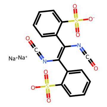 O=C=NC(=C(N=C=O)c1ccccc1S(=O)(=O)[O-])c1ccccc1S(=O)(=O)[O-].[Na+].[Na+]